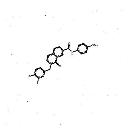 COc1ccc(NC(=O)c2ccc3ccn(Cc4ccc(F)c(F)c4)c(=O)c3c2)cc1